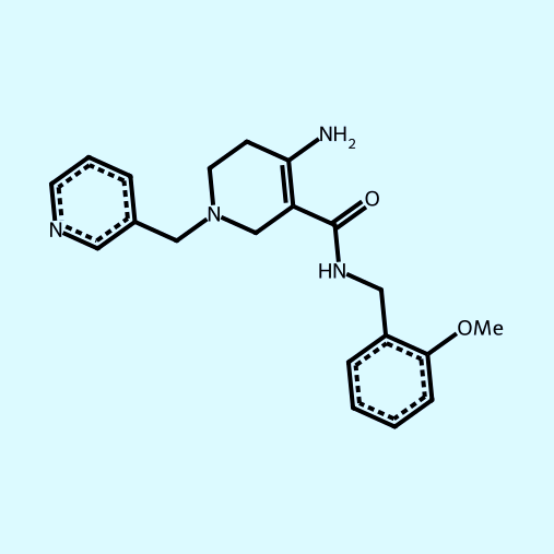 COc1ccccc1CNC(=O)C1=C(N)CCN(Cc2cccnc2)C1